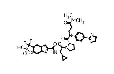 CN(C)C(=O)CCN(C(=O)[C@@H]1CCCN1C(=O)[C@@H](NC(=O)c1cc2cc(C(F)(F)P(=O)(O)O)ccc2s1)C1CC1)c1ccc(-c2nccs2)cc1